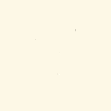 CN(C)CCN(CCC#N)CCC#N